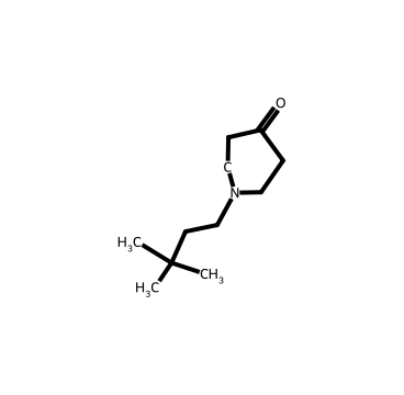 CC(C)(C)CCN1CCC(=O)CC1